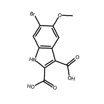 COc1cc2c(C(=O)O)c(C(=O)O)[nH]c2cc1Br